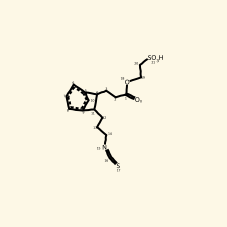 O=C(CCC1c2cccc(c2)C1CCCN=C=S)OCCS(=O)(=O)O